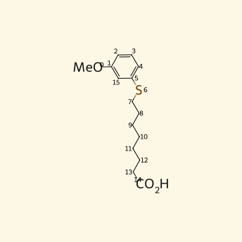 COc1cccc(SCCCCCCCC(=O)O)c1